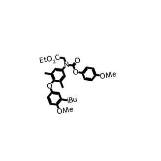 CCOC(=O)CN(C(=O)Oc1ccc(OC)cc1)c1cc(C)c(Oc2ccc(OC)c(C(C)CC)c2)c(C)c1